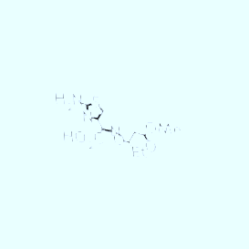 CCC(CC(=O)OC)ON=C(C(=O)O)c1csc(N)n1